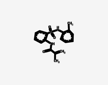 C=C(C)C(=O)Nc1ccccc1S(=O)(=O)Nc1ccccc1C